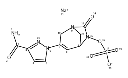 NC(=O)c1ccn(C2=CC3CN(C2)C(=O)N3OS(=O)(=O)[O-])n1.[Na+]